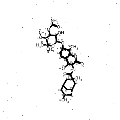 COC1C(OC(N)=O)C(O)C(Oc2ccc3c(O)c(NC(=O)C4(C)CC5CC(C)CC(C5)C4)c(=O)oc3c2C)OC1(C)C